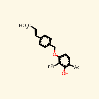 CCCc1c(OCc2ccc(/C=C/C(=O)O)cc2)ccc(C(C)=O)c1O